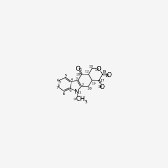 Cn1c2c(c3ccccc31)C(=O)C1COC(=O)C(=O)C1C2